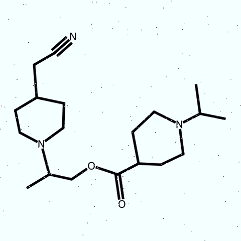 CC(C)N1CCC(C(=O)OCC(C)N2CCC(CC#N)CC2)CC1